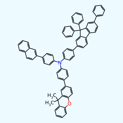 CC1(C)c2ccccc2Oc2ccc(-c3ccc(N(c4ccc(-c5ccc6c(c5)C(c5ccccc5)(c5ccccc5)c5cc(-c7ccccc7)ccc5-6)cc4)c4ccc(-c5ccc6ccccc6c5)cc4)cc3)cc21